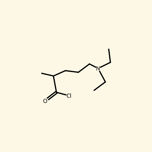 CCN(CC)CCCC(C)C(=O)Cl